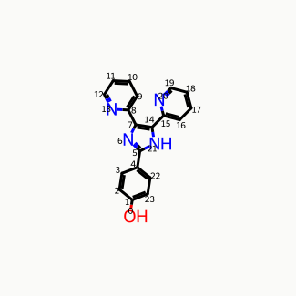 Oc1ccc(-c2nc(-c3ccccn3)c(-c3ccccn3)[nH]2)cc1